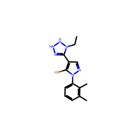 CCN1NNN=C1c1cnn(-c2cccc(C)c2C)c1S